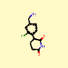 NCc1ccc(C2CCC(=O)NC2=O)c(Cl)c1